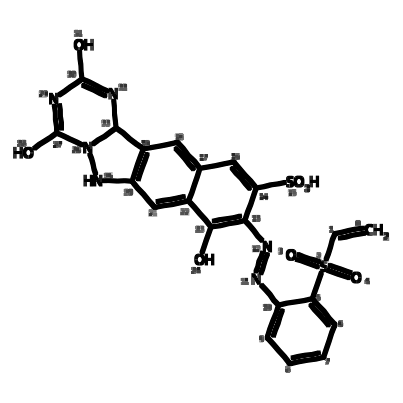 C=CS(=O)(=O)c1ccccc1N=Nc1c(S(=O)(=O)O)cc2cc3c(cc2c1O)NN1C(O)=NC(O)=NC31